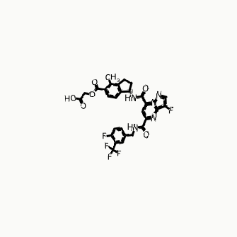 Cc1c(C(=O)OCC(=O)O)ccc2c1CC[C@@H]2NC(=O)c1cc(C(=O)NCc2ccc(F)c(C(F)(F)F)c2)nc2c(F)cnn12